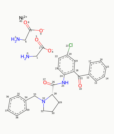 NCC(=O)[O-].NCC(=O)[O-].O=C(c1ccccc1)c1cc(Cl)ccc1NC(=O)[C@@H]1CCCN1Cc1ccccc1.[Ni+2]